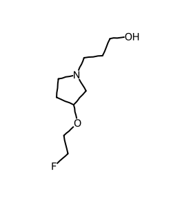 OCCCN1CCC(OCCF)C1